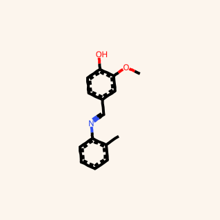 COc1cc(/C=N/c2ccccc2C)ccc1O